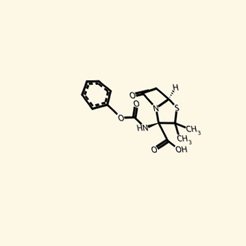 CC1(C)S[C@@H]2CC(=O)N2[C@@]1(NC(=O)Oc1ccccc1)C(=O)O